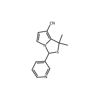 CC1(C)SC(c2cccnc2)n2ccc(C#N)c21